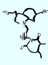 C/C=C(/CO)c1ccc(Br)cc1/N=C/NN1C(=O)CC(C)=C(C)C1=O